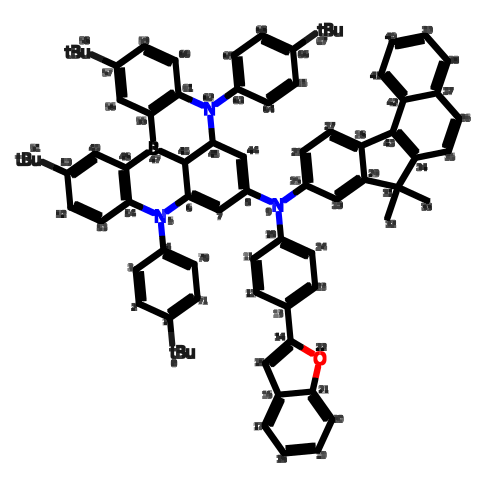 CC(C)(C)c1ccc(N2C3=CC(N(c4ccc(-c5cc6ccccc6o5)cc4)c4ccc5c(c4)C(C)(C)c4ccc6ccccc6c4-5)=CC4C3B(c3cc(C(C)(C)C)ccc32)c2cc(C(C)(C)C)ccc2N4c2ccc(C(C)(C)C)cc2)cc1